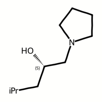 CC(C)C[C@H](O)CN1CCCC1